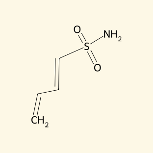 C=CC=CS(N)(=O)=O